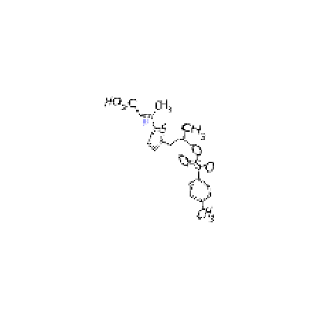 C/C(=C\C(=O)O)c1ccc(CC(C)OS(=O)(=O)c2ccc(C)cc2)s1